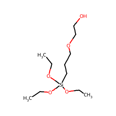 CCO[Si](CCCOCCO)(OCC)OCC